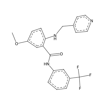 COc1ccc(NCc2ccncc2)c(C(=O)Nc2cccc(C(F)(F)F)c2)c1